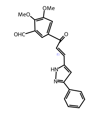 COc1cc(C(=O)/C=C/c2cc(-c3ccccc3)n[nH]2)cc(C=O)c1OC